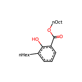 CCCCCCCCOC(=O)c1cccc(CCCCCC)c1O